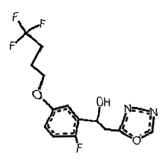 OC(Cc1nnco1)c1cc(OCCCC(F)(F)F)ccc1F